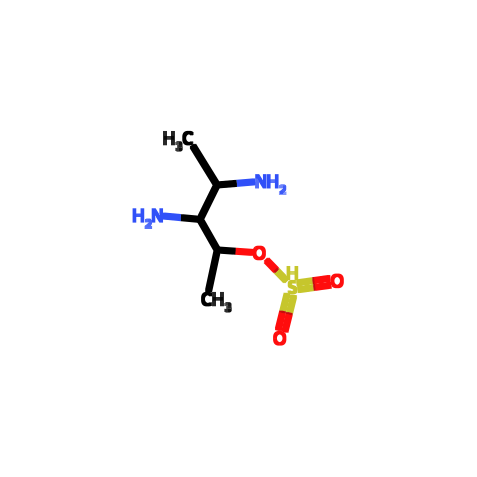 CC(N)C(N)C(C)O[SH](=O)=O